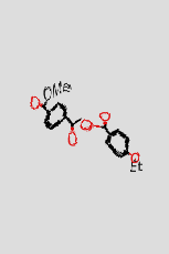 CCOc1ccc(C(=O)OCC(=O)c2ccc(C(=O)OC)cc2)cc1